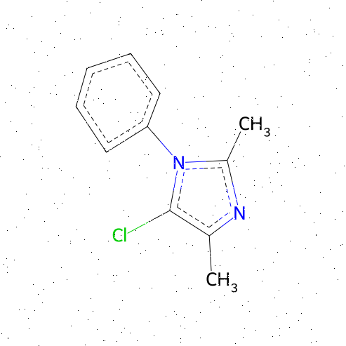 Cc1nc(C)n(-c2ccccc2)c1Cl